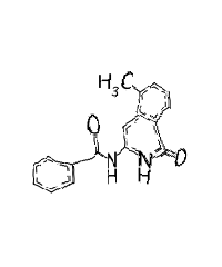 Cc1cccc2c(=O)[nH]c(NC(=O)c3ccccc3)cc12